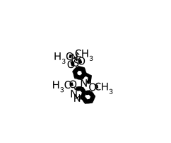 COc1nnc2cccc(OC)c2c1N1CCc2cc(S(=O)(=O)N(C)C)ccc21